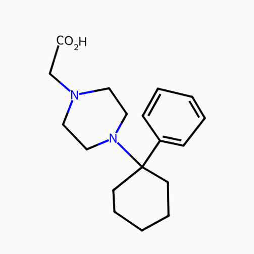 O=C(O)CN1CCN(C2(c3ccccc3)CCCCC2)CC1